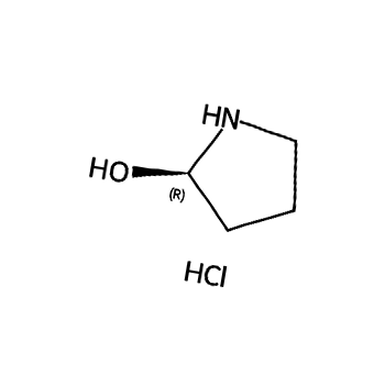 Cl.O[C@@H]1CCCN1